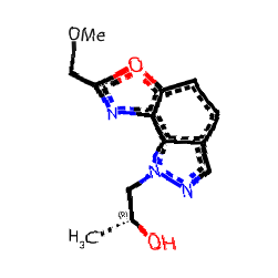 COCc1nc2c(ccc3cnn(C[C@@H](C)O)c32)o1